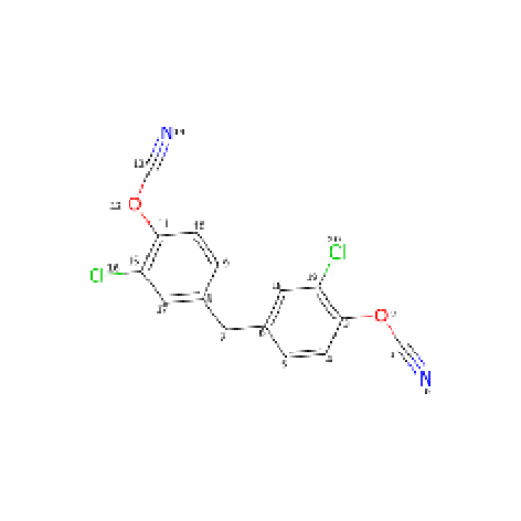 N#COc1ccc(Cc2ccc(OC#N)c(Cl)c2)cc1Cl